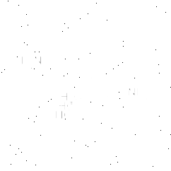 Cc1cc(-c2ccc(N)c(C)c2)ccc1N.Cl.Cl.O